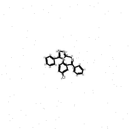 Clc1ccc2c(c1)C(c1ccccc1)=NCc1nnc(-c3ccccc3)n1-2